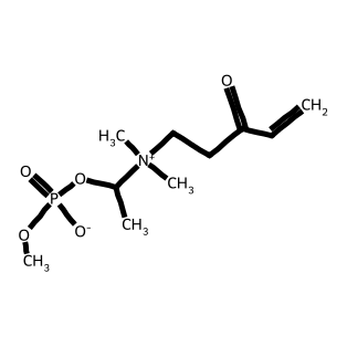 C=CC(=O)CC[N+](C)(C)C(C)OP(=O)([O-])OC